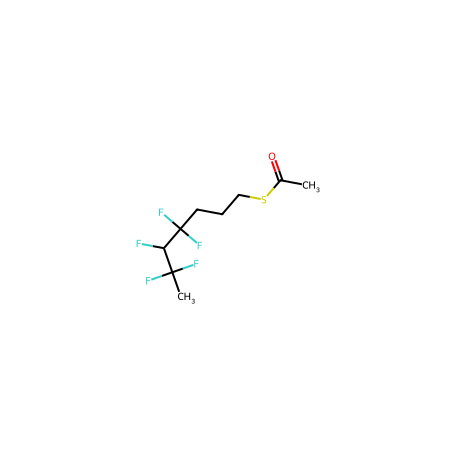 CC(=O)SCCCC(F)(F)C(F)C(C)(F)F